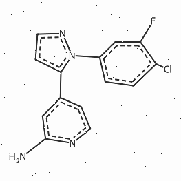 Nc1cc(-c2ccnn2-c2ccc(Cl)c(F)c2)ccn1